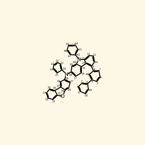 c1ccc(-c2cccc(-c3cccc4c3c3ccc(N(c5ccccc5)c5ccc6oc7ccccc7c6c5)cc3n4-c3ccccc3)c2)cc1